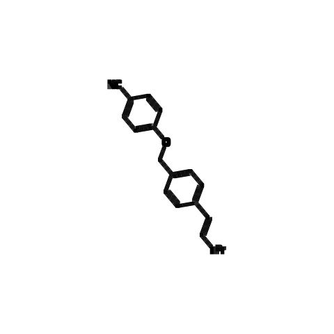 CCCC=Cc1ccc(COc2ccc(C#N)cc2)cc1